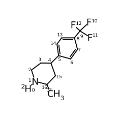 [2H]N1CCC(c2ccc(C(F)(F)F)cc2)CC1C